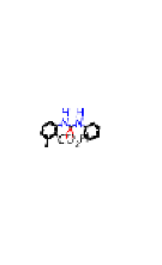 Cc1cccc(NC(=O)Nc2ccccc2)c1C(=O)O